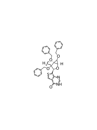 C[C@]1(OCc2ccccc2)[C@H](c2scc3c(=O)[nH]cnc23)O[C@@H]2C(OCc3ccccc3)[C@@]21OCc1ccccc1